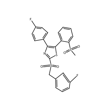 CS(=O)(=O)c1ccccc1-c1sc(S(=O)(=O)Cc2cccc(F)c2)nc1-c1ccc(F)cc1